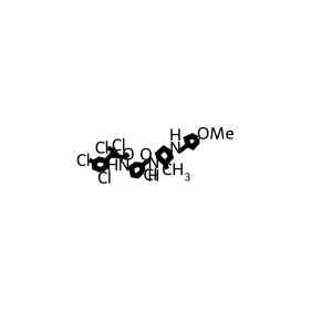 COc1ccc(CNc2ccc(NC(=O)c3cc(NC(=O)C4C(c5cc(Cl)cc(Cl)c5)C4(Cl)Cl)ccc3Cl)c(C)c2)cc1